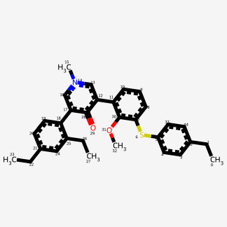 CCc1ccc(Sc2cccc(-c3cn(C)cc(-c4ccc(CC)cc4CC)c3=O)c2OC)cc1